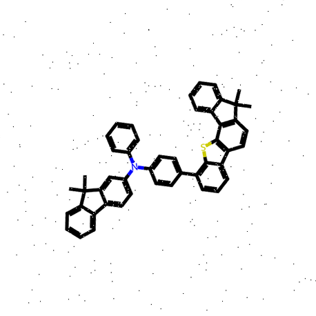 CC1(C)c2ccccc2-c2ccc(N(c3ccccc3)c3ccc(-c4cccc5c4sc4c6c(ccc45)C(C)(C)c4ccccc4-6)cc3)cc21